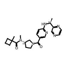 C[C@H](Nc1ccc(C(=O)N2CC[C@H](N(C)C(=O)C3(C)CCC3)C2)cn1)c1cnccn1